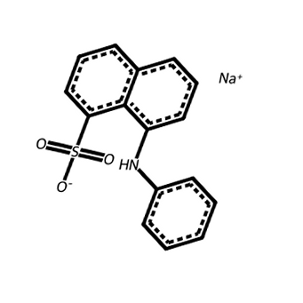 O=S(=O)([O-])c1cccc2cccc(Nc3ccccc3)c12.[Na+]